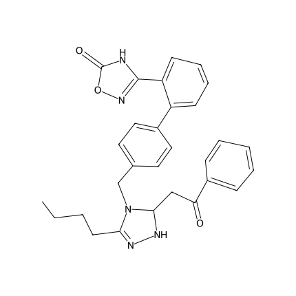 CCCCC1=NNC(CC(=O)c2ccccc2)N1Cc1ccc(-c2ccccc2-c2noc(=O)[nH]2)cc1